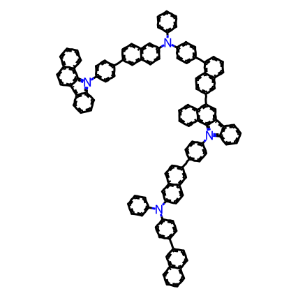 c1ccc(N(c2ccc(-c3ccc4ccccc4c3)cc2)c2ccc3cc(-c4ccc(-n5c6ccccc6c6cc(-c7ccc8c(-c9ccc(N(c%10ccccc%10)c%10ccc%11cc(-c%12ccc(-n%13c%14ccccc%14c%14ccc%15ccccc%15c%14%13)cc%12)ccc%11c%10)cc9)cccc8c7)c7ccccc7c65)cc4)ccc3c2)cc1